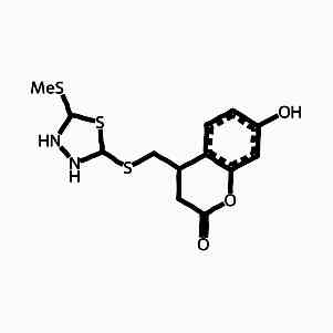 CSC1NNC(SCC2CC(=O)Oc3cc(O)ccc32)S1